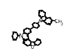 Cc1ccc2c(c1)c1ccccc1n2-c1ccc(-c2ccc3c(c2)c2c4c(ccc2n3-c2ccccc2)oc2ccccc24)cc1